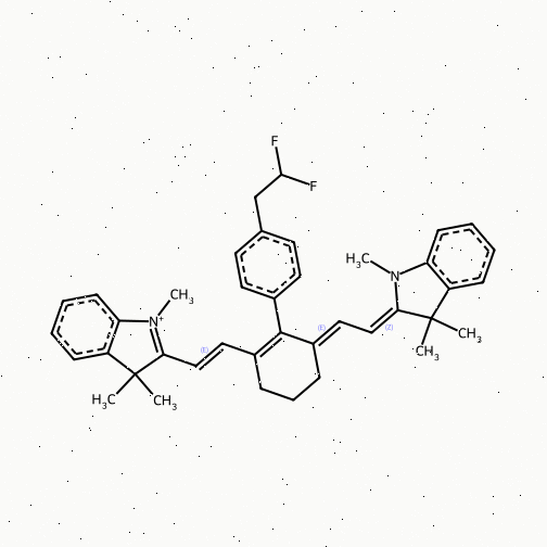 CN1/C(=C\C=C2/CCCC(/C=C/C3=[N+](C)c4ccccc4C3(C)C)=C2c2ccc(CC(F)F)cc2)C(C)(C)c2ccccc21